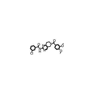 COc1ccc(C(=O)N2CCc3nc(NC(=O)c4cccc(Cl)c4)ncc3C2)cc1OC